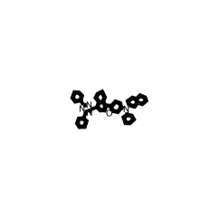 c1ccc(-c2nc(-c3ccccc3)nc(-c3cc4oc5cc(N(c6ccccc6)c6ccc7ccccc7c6)ccc5c4c4ccccc34)n2)cc1